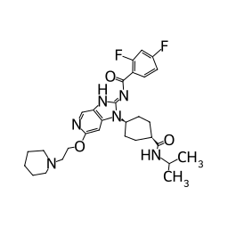 CC(C)NC(=O)[C@H]1CC[C@@H](n2/c(=N/C(=O)c3ccc(F)cc3F)[nH]c3cnc(OCCN4CCCCC4)cc32)CC1